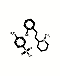 CN1CCCCC1CCc1ccccc1N.Cc1ccc(S(=O)(=O)O)cc1